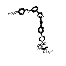 C[C@@H](NS(=O)(=O)N1CCN(c2ccc(C#Cc3nc(-c4cccc(OCc5ccc(C(=O)O)cc5)c4)cs3)cc2)CC1)C(=O)O